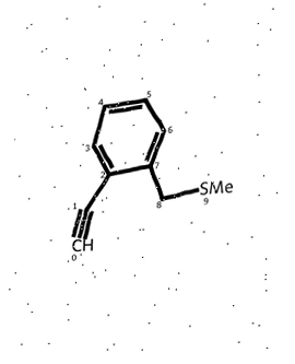 C#Cc1ccccc1CSC